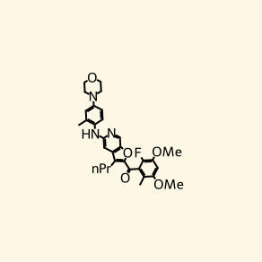 CCCc1c(C(=O)c2c(C)c(OC)cc(OC)c2F)oc2cnc(Nc3ccc(N4CCOCC4)cc3C)cc12